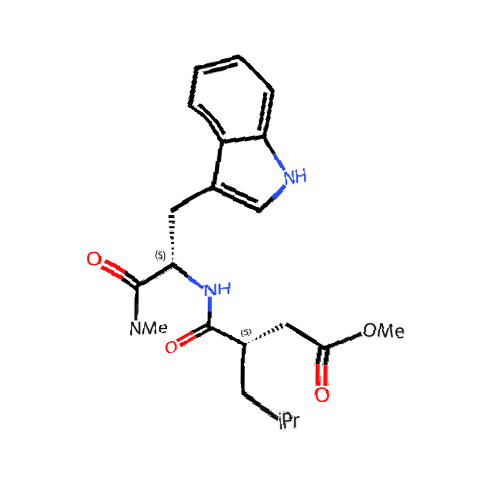 CNC(=O)[C@H](Cc1c[nH]c2ccccc12)NC(=O)[C@H](CC(=O)OC)CC(C)C